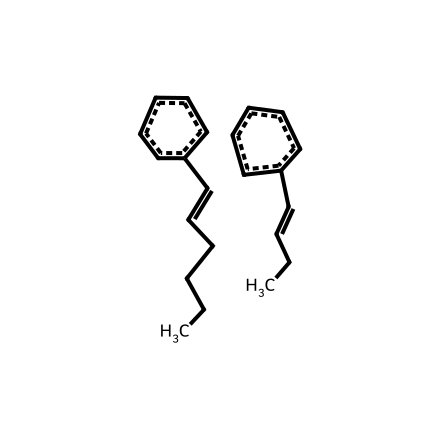 CCC=Cc1ccccc1.CCCCC=Cc1ccccc1